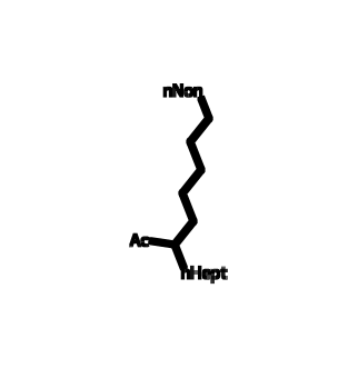 CCCCCCCCCCCCCCC(CCCCCCC)C(C)=O